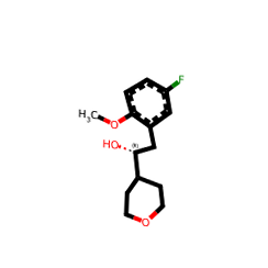 COc1ccc(F)cc1C[C@@H](O)C1CCOCC1